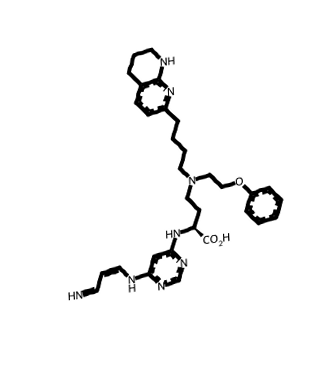 N=C/C=C\Nc1cc(N[C@@H](CCN(CCCCc2ccc3c(n2)NCCC3)CCOc2ccccc2)C(=O)O)ncn1